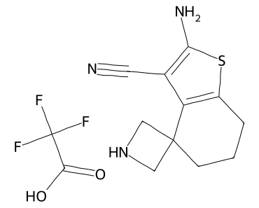 N#Cc1c(N)sc2c1C1(CCC2)CNC1.O=C(O)C(F)(F)F